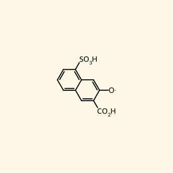 [O]c1cc2c(S(=O)(=O)O)cccc2cc1C(=O)O